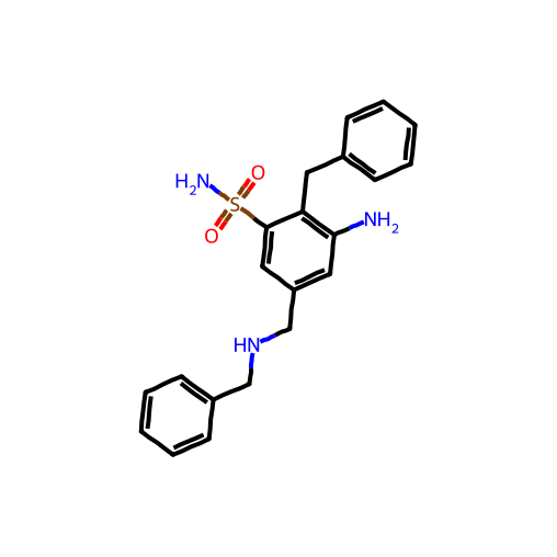 Nc1cc(CNCc2ccccc2)cc(S(N)(=O)=O)c1Cc1ccccc1